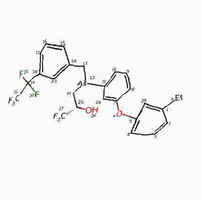 CCc1cccc(Oc2cccc([As](Cc3cccc(C(F)(F)C(F)(F)F)c3)C[C@H](O)C(F)(F)F)c2)c1